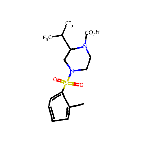 Cc1ccccc1S(=O)(=O)N1CCN(C(=O)O)C(C(C(F)(F)F)C(F)(F)F)C1